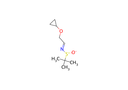 CC(C)(C)[S@@+]([O-])N=CCOC1CC1